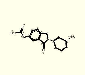 N[C@@H]1CCC[C@H](N2Cc3ccc(NC(=O)O)cc3C2=O)C1